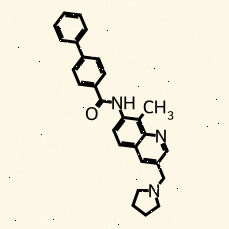 Cc1c(NC(=O)c2ccc(-c3ccccc3)cc2)ccc2cc(CN3CCCC3)cnc12